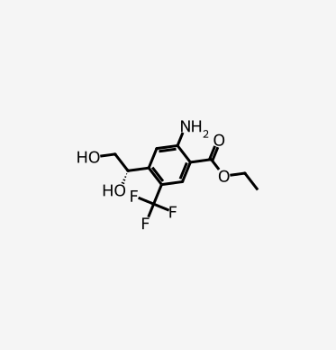 CCOC(=O)c1cc(C(F)(F)F)c([C@H](O)CO)cc1N